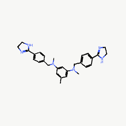 Cc1cc(N(C)Cc2ccc(C3=NCCN3)cc2)cc(N(C)Cc2ccc(C3=NCCN3)cc2)c1